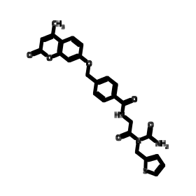 Cc1cc(=O)oc2cc(OCc3ccc(C(=O)NCC(=O)N(Cc4cccs4)C(N)=O)cc3)ccc12